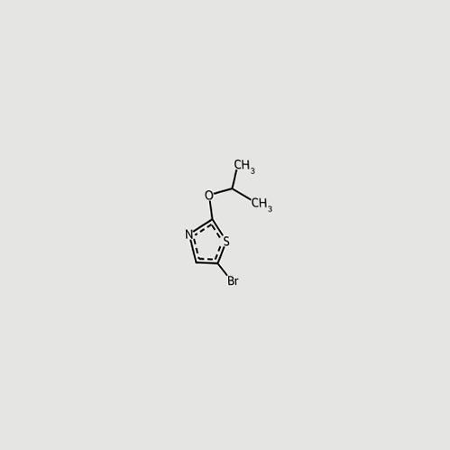 CC(C)Oc1ncc(Br)s1